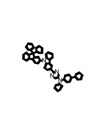 c1ccc(-c2ccc(N(c3ccccc3)c3cnc(-c4ccc5c(c4)c4ccccc4n5-c4ccc5c(c4)C(c4ccccc4)(c4ccccc4)c4ccccc4-5)nc3)cc2)cc1